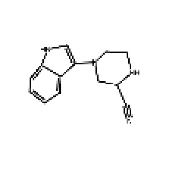 N#CC1CN(c2c[nH]c3ccccc23)CCN1